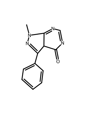 CN1N=C(c2ccccc2)C2C(=O)N=CN=C21